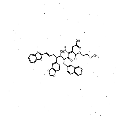 COCCOC(=O)C(CC(=O)O)=C(O)C(=O)N(Cc1ccc2ccccc2c1)[C@H](C)[C@H](C/C=C/c1nc2ccccc2o1)c1ccc2c(c1)OCO2